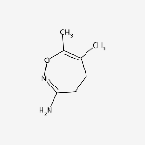 CC1=C(C)ON=C(N)CC1